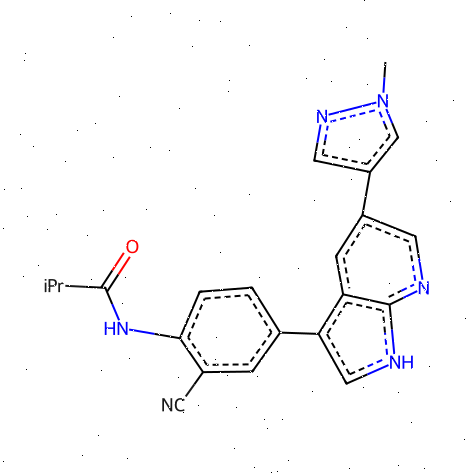 CC(C)C(=O)Nc1ccc(-c2c[nH]c3ncc(-c4cnn(C)c4)cc23)cc1C#N